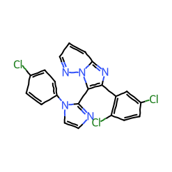 Clc1ccc(-n2ccnc2-c2c(-c3cc(Cl)ccc3Cl)nc3cccnn23)cc1